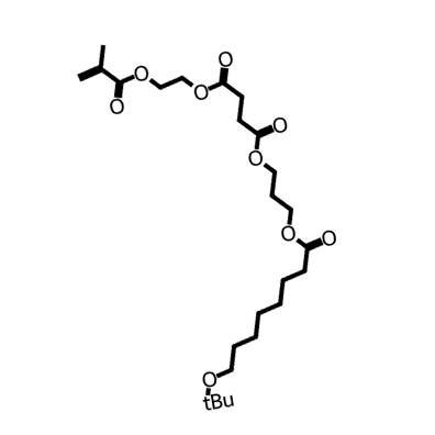 C=C(C)C(=O)OCCOC(=O)CCC(=O)OCCCOC(=O)CCCCCCCOC(C)(C)C